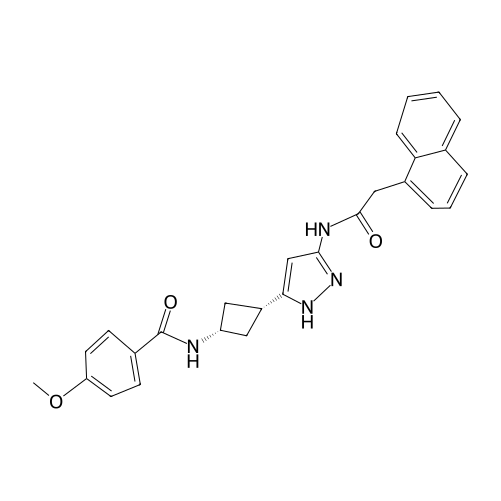 COc1ccc(C(=O)N[C@H]2C[C@@H](c3cc(NC(=O)Cc4cccc5ccccc45)n[nH]3)C2)cc1